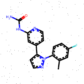 Cc1cc(F)ccc1-n1nccc1-c1ccnc(NC(N)=O)c1